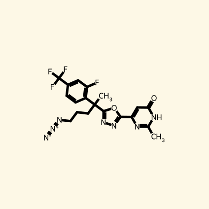 Cc1nc(-c2nnc(C(C)(CCCN=[N+]=[N-])c3ccc(C(F)(F)F)cc3F)o2)cc(=O)[nH]1